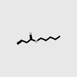 C=CCC(=O)OCCCCC